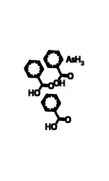 O=C(O)c1ccccc1.O=C(O)c1ccccc1.O=C(O)c1ccccc1.[AsH3]